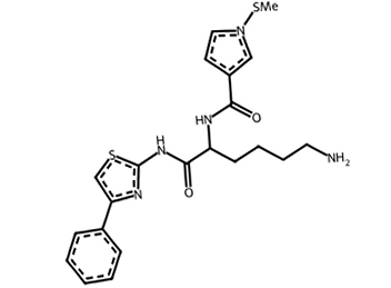 CSn1ccc(C(=O)NC(CCCCN)C(=O)Nc2nc(-c3ccccc3)cs2)c1